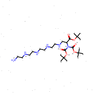 CC(C)(C)OC(=O)C(CNCCNCCNCCNCCN)N(C(=O)OC(C)(C)C)C(=O)OC(C)(C)C